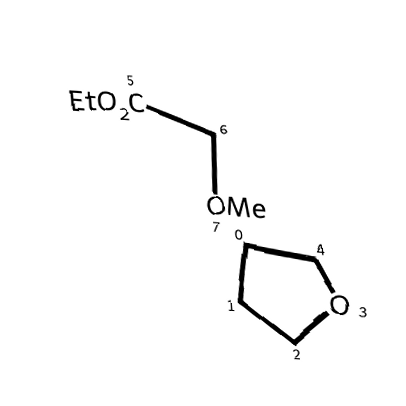 C1CCOC1.CCOC(=O)COC